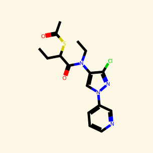 CCC(SC(C)=O)C(=O)N(CC)c1cn(-c2cccnc2)nc1Cl